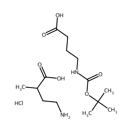 CC(C)(C)OC(=O)NCCCC(=O)O.CC(CCN)C(=O)O.Cl